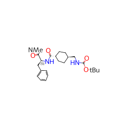 CNC(=O)[C@H](Cc1ccccc1)NC(=O)[C@H]1CC[C@H](CNC(=O)OC(C)(C)C)CC1